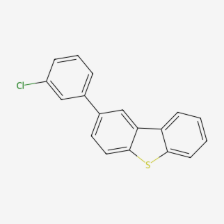 Clc1cccc(-c2ccc3sc4ccccc4c3c2)c1